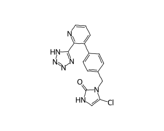 O=c1[nH]cc(Cl)n1Cc1ccc(-c2cccnc2-c2nnn[nH]2)cc1